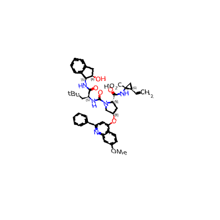 C=C[C@@H]1C[C@]1(NC(=O)[C@@H]1C[C@@H](Oc2cc(-c3ccccc3)nc3cc(OC)ccc23)CN1C(=O)N[C@@H](CC(C)(C)C)C(=O)N[C@H]1c2ccccc2C[C@H]1O)C(=O)O